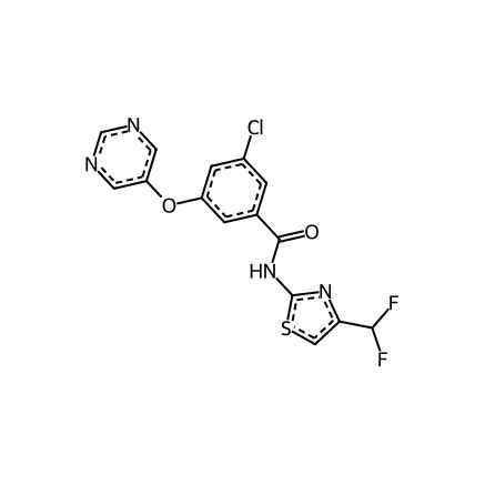 O=C(Nc1nc(C(F)F)cs1)c1cc(Cl)cc(Oc2cncnc2)c1